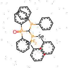 O=P(c1ccccc1)(c1ccccc1)C(P(c1ccccc1)c1ccccc1)[PH2]([Se]c1ccccc1)[Se]c1ccccc1